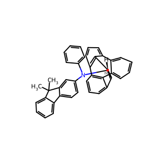 CC1(C)c2ccccc2-c2ccc(N(c3ccccc3)C3CCC4c5cccc6c5-c5ccccc5-c5cccc-6c5[C@H]4C3)cc21